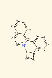 C1=CC2C1c1ccccc1-c1c3ccccc3cc[n+]12